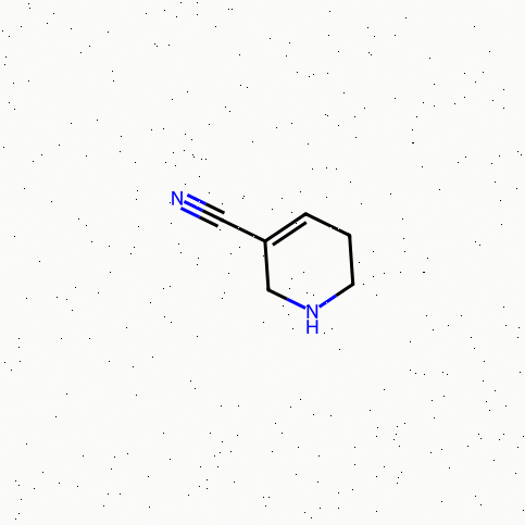 N#CC1=CCCNC1